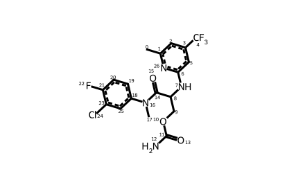 Cc1cc(C(F)(F)F)cc(NC(COC(N)=O)C(=O)N(C)c2ccc(F)c(Cl)c2)n1